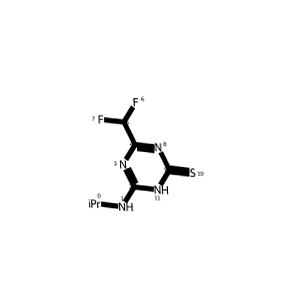 CC(C)Nc1nc(C(F)F)nc(=S)[nH]1